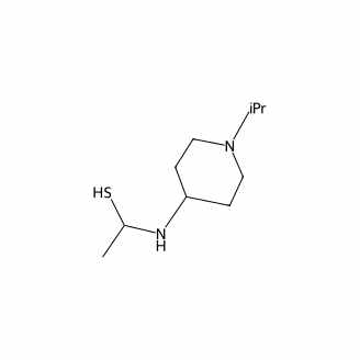 CC(S)NC1CCN(C(C)C)CC1